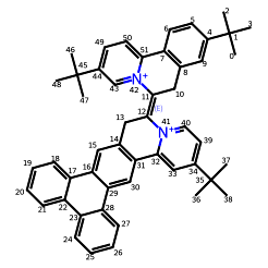 CC(C)(C)c1ccc2c(c1)C/C(=C1/Cc3cc4c5ccccc5c5ccccc5c4cc3-c3cc(C(C)(C)C)cc[n+]31)[n+]1cc(C(C)(C)C)ccc1-2